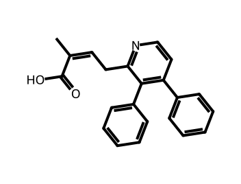 CC(=CCc1nccc(-c2ccccc2)c1-c1ccccc1)C(=O)O